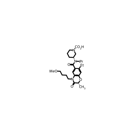 CCc1cc2c(cc1C(=O)N(C(C)C)[C@@H]1CCCN(C(=O)O)C1)N(CCCCOC)C(=O)[C@@H](C)O2